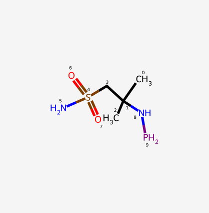 CC(C)(CS(N)(=O)=O)NP